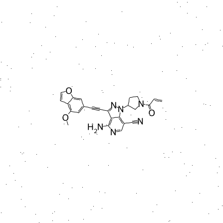 C=CC(=O)N1CCC(n2nc(C#Cc3cc(OC)c4ccoc4c3)c3c(N)ncc(C#N)c32)C1